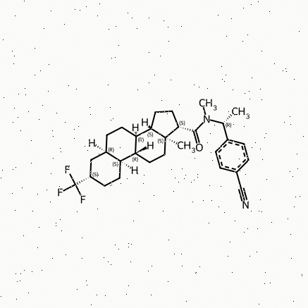 C[C@H](c1ccc(C#N)cc1)N(C)C(=O)[C@H]1CC[C@H]2[C@@H]3CC[C@@H]4C[C@@H](C(F)(F)F)CC[C@@H]4[C@H]3CC[C@]12C